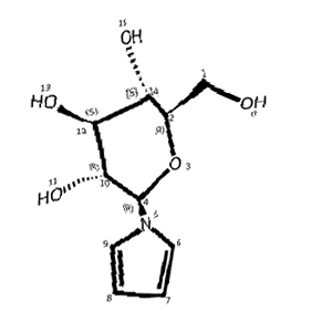 OC[C@H]1O[C@@H](n2cccc2)[C@H](O)[C@@H](O)[C@@H]1O